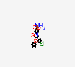 Cc1ccc(Oc2cc(Cl)ccc2[C@H]2CC(=O)N(c3ccc(S(N)(=O)=O)cc3)C2)cc1C